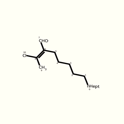 CCCCCCCCCCCC/C([C]=O)=C(\C)Cl